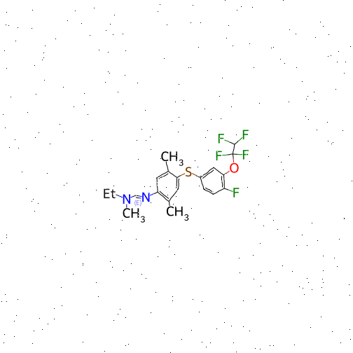 CCN(C)/C=N/c1cc(C)c(Sc2ccc(F)c(OC(F)(F)C(F)F)c2)cc1C